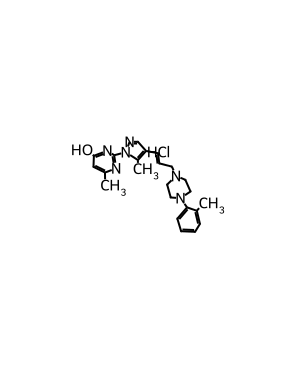 Cc1cc(O)nc(-n2ncc(C=CCN3CCN(c4ccccc4C)CC3)c2C)n1.Cl